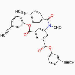 C#Cc1ccc(C(=O)N(C=O)c2cc(C(=O)Oc3cccc(C#C)c3)cc(C(=O)Oc3cccc(C#C)c3)c2)cc1